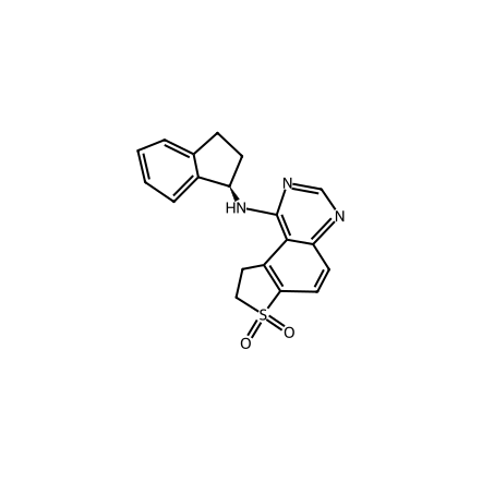 O=S1(=O)CCc2c1ccc1ncnc(N[C@@H]3CCc4ccccc43)c21